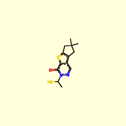 CC(S)n1ncc2c3c(sc2c1=O)CC(C)(C)C3